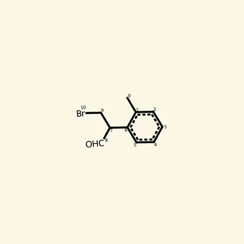 Cc1ccccc1C(C=O)CBr